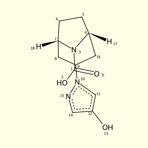 O=C(O)N1[C@@H]2CC[C@H]1CC(n1cc(O)cn1)C2